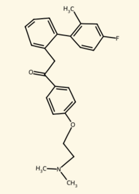 Cc1cc(F)ccc1-c1ccccc1CC(=O)c1ccc(OCCN(C)C)cc1